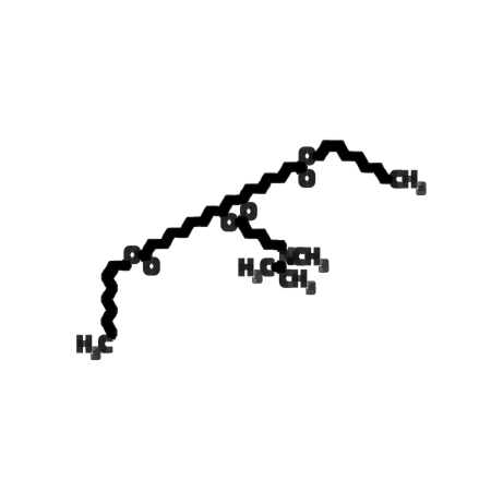 CCCCCC/C=C\COC(=O)CCCCCCCC(CCCCCCCC(=O)OC/C=C\CCCCCC)OC(=O)CCCCN(C)C(C)C